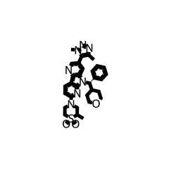 Cc1nnn(C)c1-c1cnc2c3ccc(N4CCS(=O)(=O)C(C)C4)nc3n([C@H](c3ccccc3)C3CCOCC3)c2c1